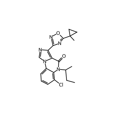 CCC(C)n1c(=O)c2c(-c3noc(C4(C)CC4)n3)ncn2c2cccc(Cl)c21